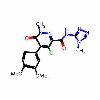 COc1ccc(-c2c(Cl)c(C(=O)Nc3nncn3C)nn(C)c2=O)cc1OC